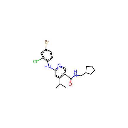 CC(C)c1cc(Nc2ccc(Br)cc2Cl)ncc1C(=O)NCC1CCCC1